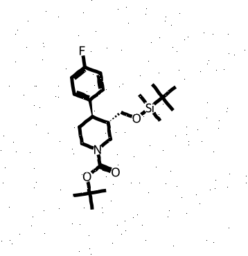 CC(C)(C)OC(=O)N1CC[C@@H](c2ccc(F)cc2)[C@H](CO[Si](C)(C)C(C)(C)C)C1